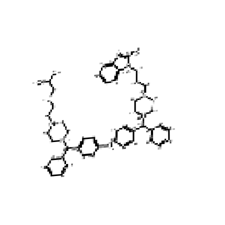 O=C(O)COCCN1CCN(C(c2ccccc2)c2ccc(Cl)cc2)CC1.Oc1nc2ccccc2n1CCCN1CCN(C(c2ccccc2)c2ccccc2)CC1